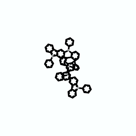 c1ccc(N(c2ccc3c(c2)-c2c4cccc2N(c2ccccc2)c2ccccc2-c2c-3ccc(N(c3ccccc3)c3ccc5c(c3)c3ccccc3n5-c3ccccc3)c2-4)c2ccc3c(c2)c2ccccc2n3-c2ccccc2)cc1